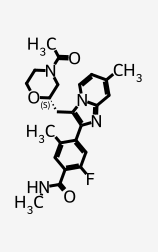 CNC(=O)c1cc(C)c(-c2nc3cc(C)ccn3c2C[C@H]2CN(C(C)=O)CCO2)cc1F